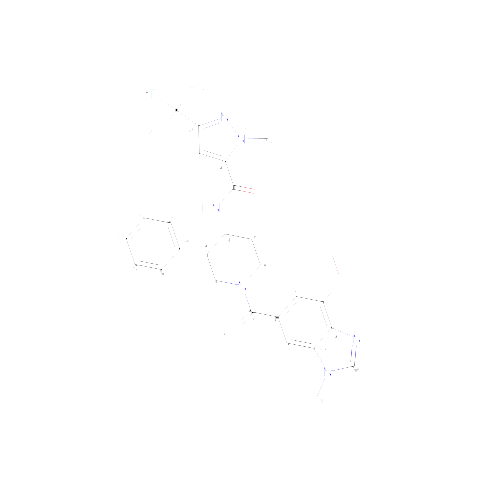 COc1cc(C(=O)N2CC[C@@H](NC(=O)c3cc(C(F)(F)F)nn3C)[C@@H](c3ccccc3)C2)cc2c1ncn2C